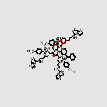 Cc1ccc(S(=O)(=O)N[C@@H](CCCCNc2nsc3nccn23)C(=O)N2CCC(Cc3ccccc3)CC2N(C(=O)[C@H](CCCCNc2nsc3nccn23)NS(=O)(=O)c2ccc(C)cc2)C2CC(Cc3ccccc3)CCN2C(=O)[C@H](CCCCNc2nsc3nccn23)NS(=O)(=O)c2ccc(C)cc2)cc1